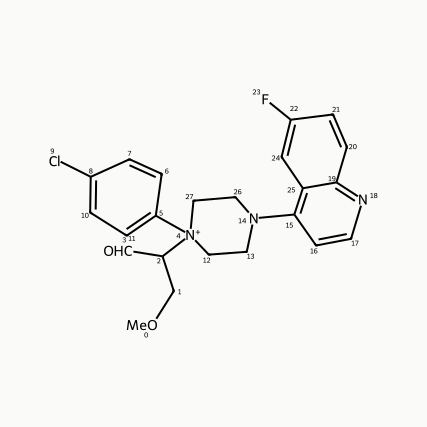 COCC(C=O)[N+]1(c2ccc(Cl)cc2)CCN(c2ccnc3ccc(F)cc23)CC1